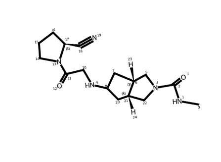 CNC(=O)N1C[C@H]2CC(NCC(=O)N3CCC[C@H]3C#N)C[C@H]2C1